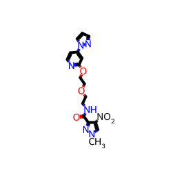 Cn1cc([N+](=O)[O-])c(C(=O)NCCOCCOc2cc(-n3cccn3)ccn2)n1